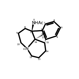 CC(=O)N[C@]1(c2ccccc2)CCCN2CCCC[C@@H]21